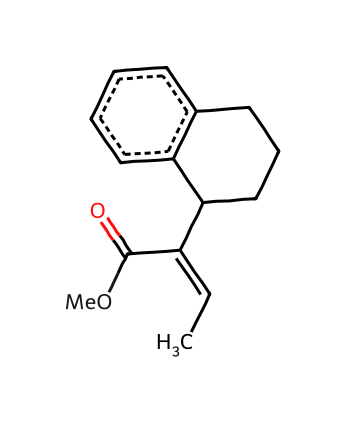 CC=C(C(=O)OC)C1CCCc2ccccc21